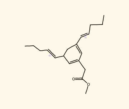 CCC/C=C/C1=CC(CC(=O)OC)=CC(/C=C/CCC)C1